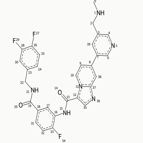 CNCc1cncc(-c2ccn3c(C(=O)Nc4cc(C(=O)NCc5ccc(F)c(F)c5)ccc4F)cnc3c2)c1